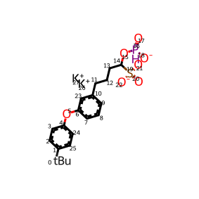 CC(C)(C)c1ccc(Oc2cccc(CCCC(O[PH](=O)[O-])S(=O)(=O)[O-])c2)cc1.[K+].[K+]